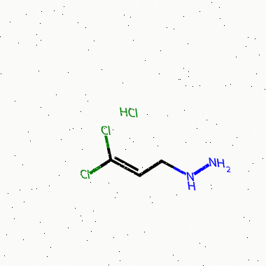 Cl.NNCC=C(Cl)Cl